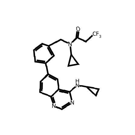 O=C(CC(F)(F)F)N(Cc1cccc(-c2ccc3ncnc(NC4CC4)c3c2)c1)C1CC1